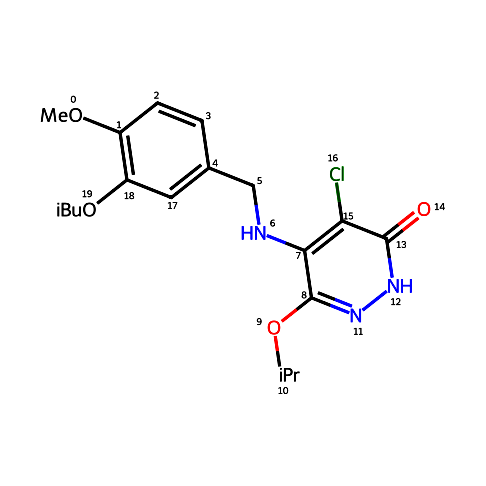 COc1ccc(CNc2c(OC(C)C)n[nH]c(=O)c2Cl)cc1OCC(C)C